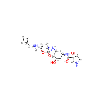 N[C@H]1C[C@@H](NC(=O)C2(O)CCNC2)C[C@@H](O)[C@@H]1O[C@@H]1CCC=C(CNCC2CCC2)O1